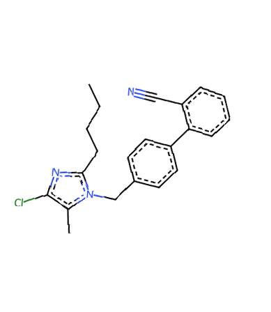 CCCCc1nc(Cl)c(C)n1Cc1ccc(-c2ccccc2C#N)cc1